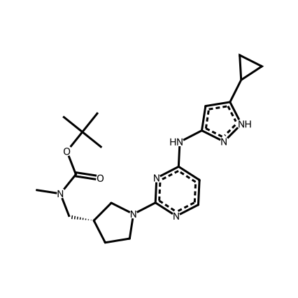 CN(C[C@H]1CCN(c2nccc(Nc3cc(C4CC4)[nH]n3)n2)C1)C(=O)OC(C)(C)C